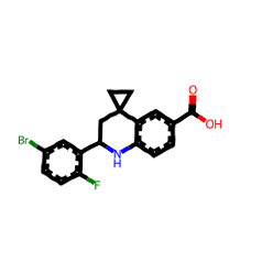 O=C(O)c1ccc2c(c1)C1(CC1)CC(c1cc(Br)ccc1F)N2